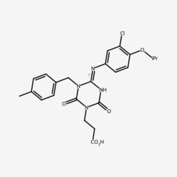 Cc1ccc(Cn2c(=O)n(CCC(=O)O)c(=O)[nH]/c2=N\c2ccc(OC(C)C)c(Cl)c2)cc1